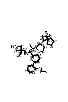 CCOc1ncccc1-c1ccc(N2CCN(C(=O)C3(C(F)(F)F)CCCC3)C[C@H]2CC)c(C(=O)NCC2(CF)CNC2)n1